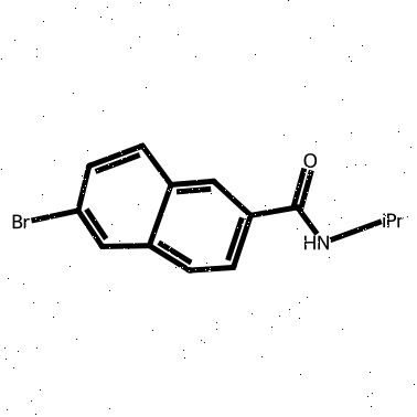 CC(C)NC(=O)c1ccc2cc(Br)ccc2c1